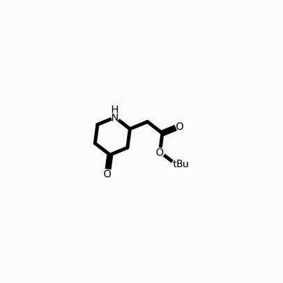 CC(C)(C)OC(=O)CC1CC(=O)CCN1